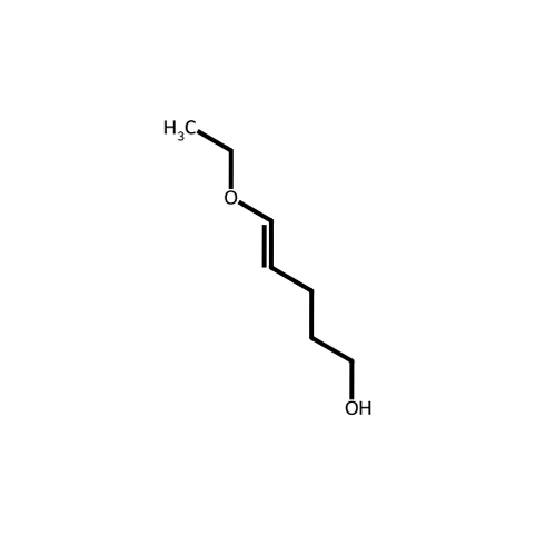 CCOC=CCCCO